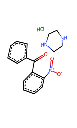 C1CNCCN1.Cl.O=C(c1ccccc1)c1ccccc1[N+](=O)[O-]